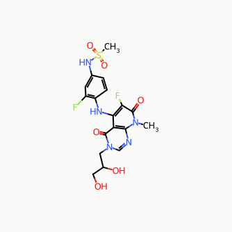 Cn1c(=O)c(F)c(Nc2ccc(NS(C)(=O)=O)cc2F)c2c(=O)n(CC(O)CO)cnc21